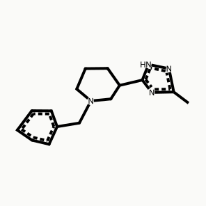 Cc1n[nH]c(C2CCCN(Cc3ccccc3)C2)n1